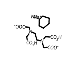 C1CCCCC1.O=C([O-])CN(CCN(CC(=O)[O-])CC(=O)O)CC(=O)O.[Na+].[Na+]